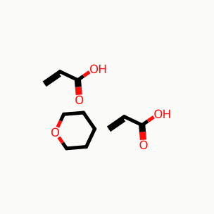 C1CCOCC1.C=CC(=O)O.C=CC(=O)O